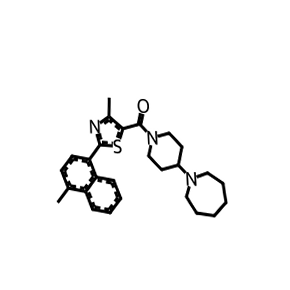 Cc1nc(-c2ccc(C)c3ccccc23)sc1C(=O)N1CCC(N2CCCCCC2)CC1